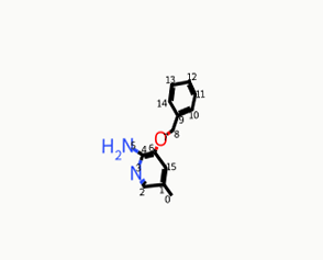 Cc1cnc(N)c(OCc2ccccc2)c1